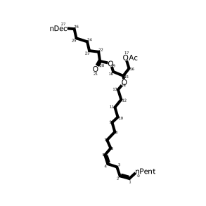 CCCCC/C=C\C/C=C\CCCCCCCCOC(COC(C)=O)COC(=O)CCCCCCCCCCCCCCC